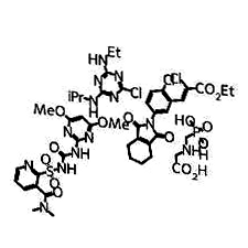 CCNc1nc(Cl)nc(NC(C)C)n1.CCOC(=O)/C(Cl)=C/c1cc(N2C(=O)C3=C(CCCC3)C2=O)ccc1Cl.COc1cc(OC)nc(NC(=O)NS(=O)(=O)c2ncccc2C(=O)N(C)C)n1.O=C(O)CNCP(=O)(O)O